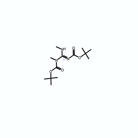 CN/C(=N\C(=O)OC(C)(C)C)N(C)C(=O)OC(C)(C)C